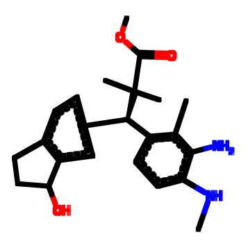 CNc1ccc([C@@H](c2ccc3c(c2)C(O)CC3)C(C)(C)C(=O)OC)c(C)c1N